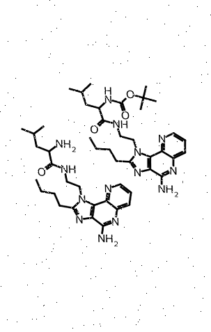 CCCCc1nc2c(N)nc3cccnc3c2n1CCNC(=O)C(CC(C)C)NC(=O)OC(C)(C)C.CCCCc1nc2c(N)nc3cccnc3c2n1CCNC(=O)C(N)CC(C)C